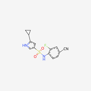 N#Cc1ccc(NS(=O)(=O)c2c[nH]c(C3CC3)c2)c(F)c1